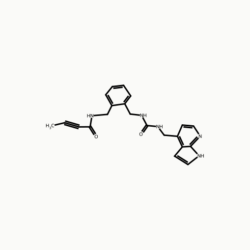 CC#CC(=O)NCc1ccccc1CNC(=O)NCc1ccnc2[nH]ccc12